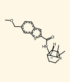 COCc1ccc2cc(C(=O)N[C@H]3C4CCN(CC4)C3(C)C)sc2c1